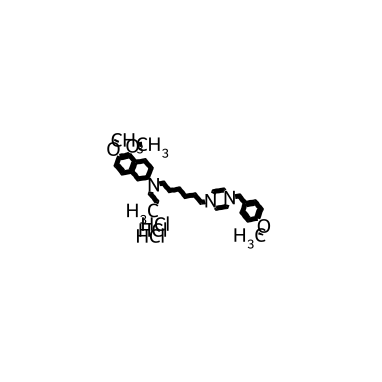 CCCN(CCCCCCN1CCN(Cc2ccc(OC)cc2)CC1)[C@H]1CCc2c(ccc(OC)c2OC)C1.Cl.Cl.Cl